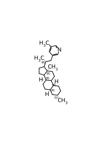 Cc1cncc(C[C@@H](C)C2CCC3[C@@H]4CC[C@@H]5C[C@@H](C)CC[C@@H]5C4CC[C@@]32C)c1